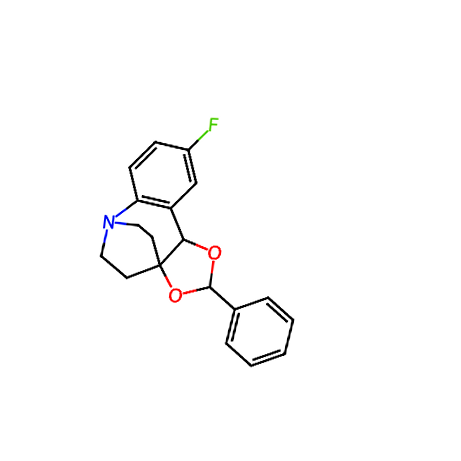 Fc1ccc2c(c1)C1OC(c3ccccc3)OC13CCN2CC3